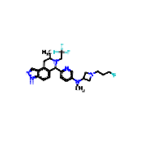 C[C@@H]1Cc2c(ccc3[nH]ncc23)C(c2ccc(N(C)C3CN(CCCF)C3)cn2)N1CC(F)(F)F